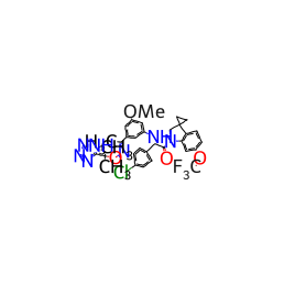 COc1cc(NC(C(=O)N2CC3(CC3)c3ccc(OC(F)(F)F)cc32)c2ccc(Cl)cc2)cc(C(C)=NOC(C)(C)c2nnn[nH]2)c1